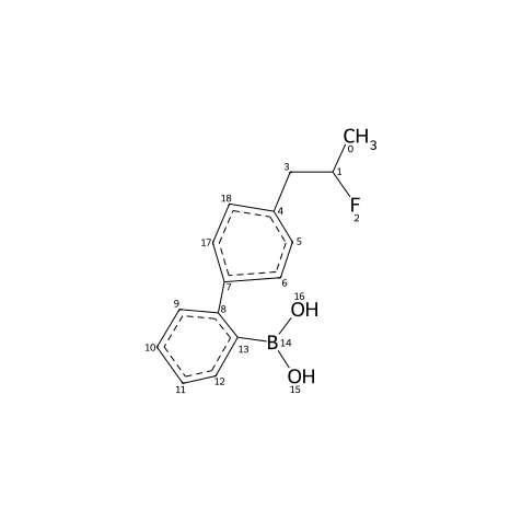 CC(F)Cc1ccc(-c2ccccc2B(O)O)cc1